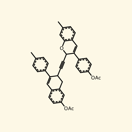 CC(=O)Oc1ccc(C2=Cc3ccc(C)cc3OC2C#CC2Cc3cc(OC(C)=O)ccc3C=C2c2ccc(C)cc2)cc1